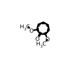 COc1ccccc(OC)c1=O